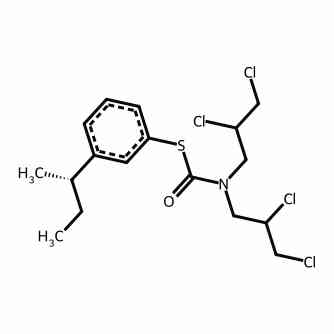 CC[C@H](C)c1cccc(SC(=O)N(CC(Cl)CCl)CC(Cl)CCl)c1